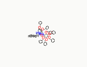 CCCCCCCCCCCCCC[C@@H](OCc1ccccc1)[C@@H](OCc1ccccc1)[C@H](CN[C@H]1C(OCc2ccccc2)C(OCc2ccccc2)[C@H](OCc2ccccc2)C(OCc2ccccc2)C1OCc1ccccc1)NC(=O)CCCCCCC